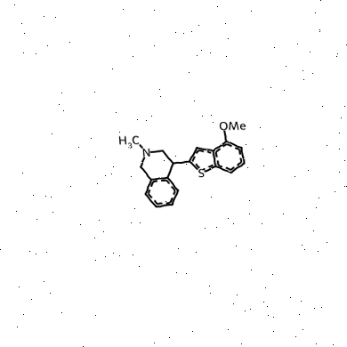 COc1cccc2sc(C3CN(C)Cc4ccccc43)cc12